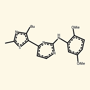 CCC(C)c1nc(C)sc1-c1ccnc(Nc2cc(OC)ccc2OC)n1